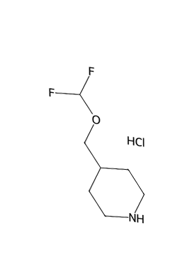 Cl.FC(F)OCC1CCNCC1